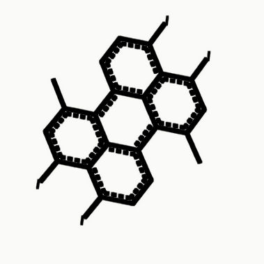 Cc1cc(I)c2c(I)ccc3c4c(C)cc(I)c5c(I)ccc(c1c23)c54